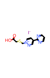 O=C(O)CSC[n+]1ccc(-c2ncccn2)cn1.[I-]